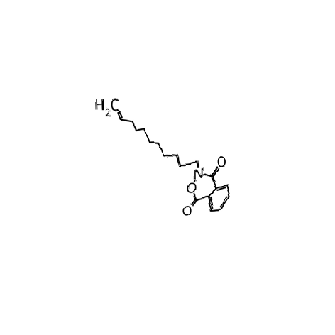 C=CCCCCCCCCCn1oc(=O)c2ccccc2c1=O